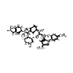 Cc1ccc(-n2nc(C(C)(C)C)cc2NC(=O)Nc2cccc(C(C3CCNCC3)S(=O)(=O)c3ccc4c(c3)CCO4)c2)cc1